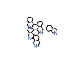 c1ccc2c(-c3cccc4c(-c5ccc6ccncc6c5)nc(-c5ccc6cnccc6c5)c(-c5cccc6cnccc56)c34)cncc2c1